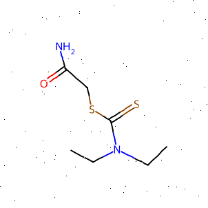 CCN(CC)C(=S)SCC(N)=O